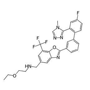 CCOCCNCc1cc(C(F)(F)F)c2oc(-c3cccc(-c4ccc(F)cc4-c4nncn4C)c3)nc2c1